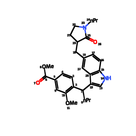 CCCC(c1ccc(C(=O)OC)cc1OC)c1c[nH]c2ccc(CC3CCN(CCC)C3=O)cc12